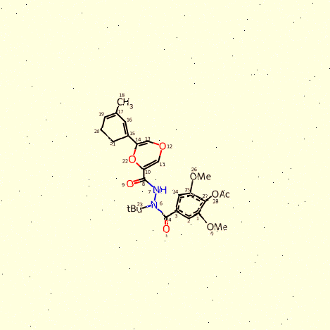 COc1cc(C(=O)N(NC(=O)C2=COC=C(C3=CC(C)=CCC3)O2)C(C)(C)C)cc(OC)c1OC(C)=O